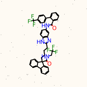 O=C(Nc1ccc2[nH]c(CCCCC3(C(=O)NCC(F)(F)F)c4ccccc4-c4ccccc43)nc2c1)c1ccccc1-c1ccc(C(F)(F)F)cc1